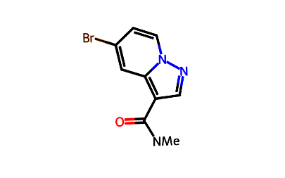 CNC(=O)c1cnn2ccc(Br)cc12